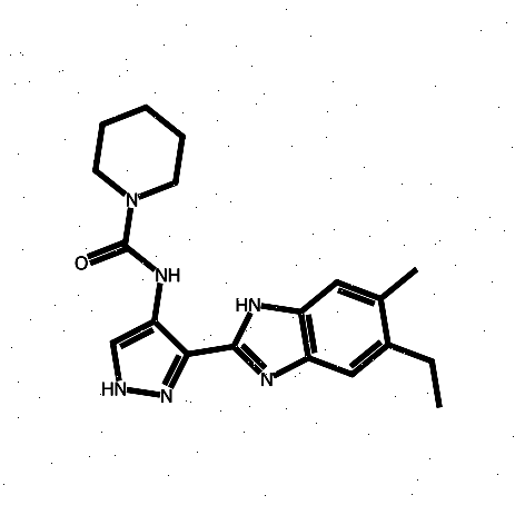 CCc1cc2nc(-c3n[nH]cc3NC(=O)N3CCCCC3)[nH]c2cc1C